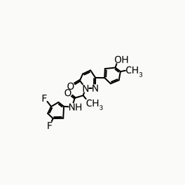 Cc1ccc(-c2ccc(=O)n(C(C)C(=O)Nc3cc(F)cc(F)c3)n2)cc1O